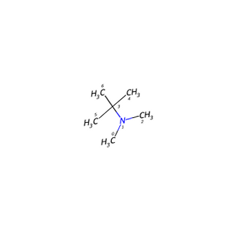 CN(C)C(C)(C)C